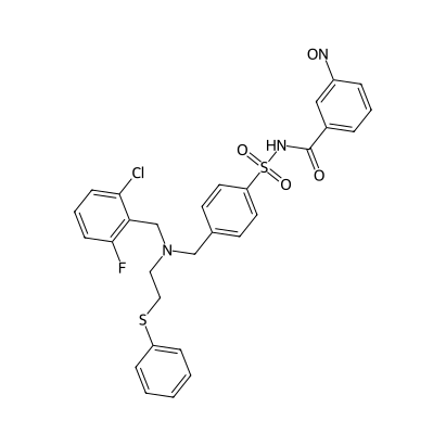 O=Nc1cccc(C(=O)NS(=O)(=O)c2ccc(CN(CCSc3ccccc3)Cc3c(F)cccc3Cl)cc2)c1